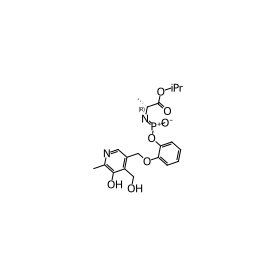 Cc1ncc(COc2ccccc2O[P+]([O-])=N[C@H](C)C(=O)OC(C)C)c(CO)c1O